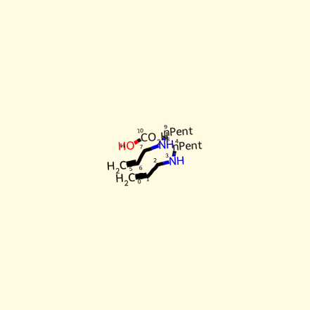 C=CCNCCCCC.C=CCNCCCCC.O=C(O)O